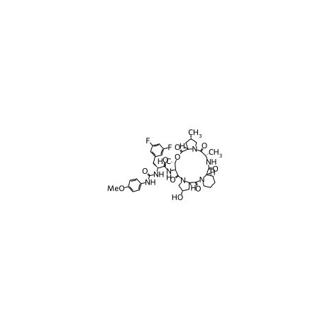 COc1ccc(NC(=O)N[C@@H](Cc2cc(F)cc(F)c2)C(=O)N[C@@H]2C(=O)N3C[C@H](O)C[C@H]3C(=O)N3CCCC[C@H]3C(=O)N[C@@H](C)C(=O)N3C[C@H](C)C[C@H]3C(=O)O[C@H]2C)cc1